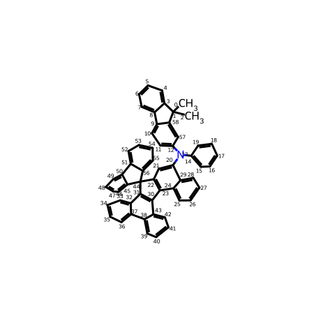 CC1(C)c2ccccc2-c2ccc(N(c3ccccc3)c3cc4c(c5ccccc35)-c3c(c5ccccc5c5ccccc35)C43c4ccccc4-c4ccccc43)cc21